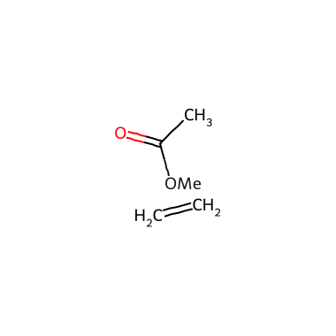 C=C.COC(C)=O